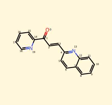 O=C(/C=C/c1ccc2ccccc2n1)c1ccccn1